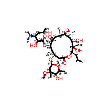 CCC[C@H]1OC(=O)[C@H](C)[C@@H](OC2CC(C)(OC)C(O)C(C)O2)[C@H](C)[C@@H](OC2OC(C)CC(N(C)C)C2O)[C@](C)(O)C[C@@H](C)C(=O)[C@H](C)[C@@H](O)[C@]1(C)O